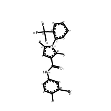 Cc1ccc(NC(=O)c2cc(C)n(-c3ccccc3C(F)(F)F)c2C)cc1Br